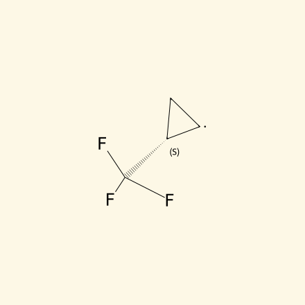 FC(F)(F)[C@H]1[CH]C1